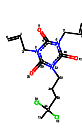 C=CCn1c(=O)n(CC=C)c(=O)n(CCC[Si](C)(Cl)Cl)c1=O